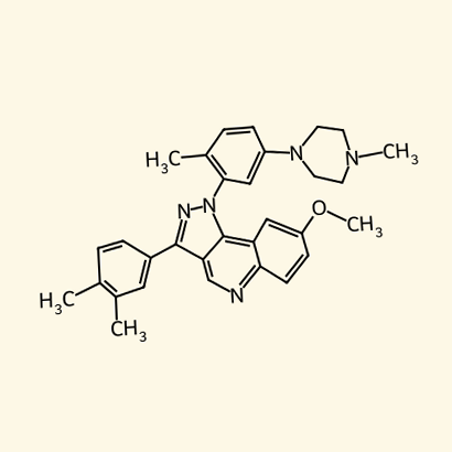 COc1ccc2ncc3c(-c4ccc(C)c(C)c4)nn(-c4cc(N5CCN(C)CC5)ccc4C)c3c2c1